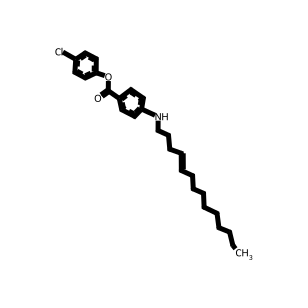 CCCCCCCCCC=CCCCNc1ccc(C(=O)Oc2ccc(Cl)cc2)cc1